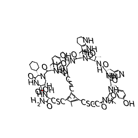 CCC[C@@H]1NC(=O)[C@H](Cc2c[nH]c3c2CCCN3)NC(=O)[C@H]([C@@H](C)O)NC(=O)[C@H](Cc2cnc[nH]2)NC(=O)[C@H](Cc2ccc(O)cc2)NC(=O)[C@H](C(C)(C)C)NC(=O)CCSCc2c(C)c3c(C)c(c2C)CSC[C@H](NC1=O)C(=O)N[C@@H](Cc1ccc(O)cc1)C(=O)N1C[C@@H](O)[C@H](NC(=O)[C@@H]1C1CCCCC1)C(=O)N[C@H](C(N)=O)CSC3